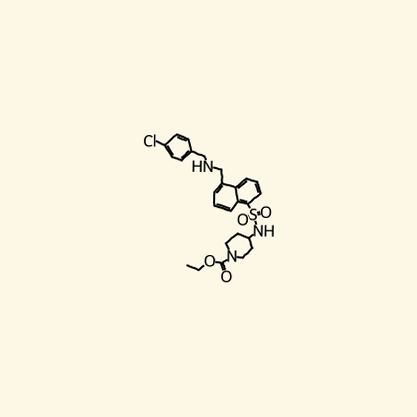 CCOC(=O)N1CCC(NS(=O)(=O)c2cccc3c(CNCc4ccc(Cl)cc4)cccc23)CC1